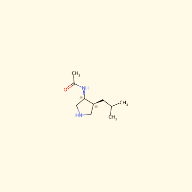 CC(=O)N[C@@H]1CNC[C@@H]1CC(C)C